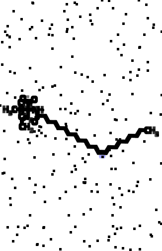 CCCCCCCC/C=C\CCCCCCCCCCCC(=O)NC(CCC)(C(=O)[O-])[N+](C)(C)C